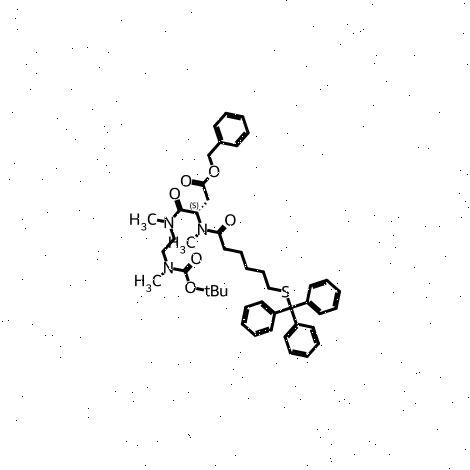 CN(CCN(C)C(=O)[C@H](CC(=O)OCc1ccccc1)N(C)C(=O)CCCCCSC(c1ccccc1)(c1ccccc1)c1ccccc1)C(=O)OC(C)(C)C